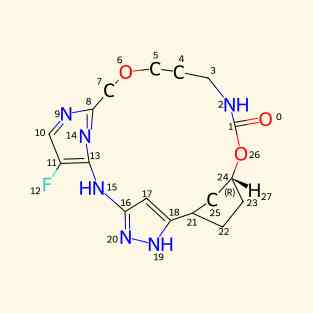 O=C1NCCCOCc2ncc(F)c(n2)Nc2cc([nH]n2)C2CC[C@H](C2)O1